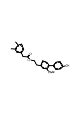 COc1cc(CCNC(=O)Cc2ccc(C)c(C)c2)ccc1-c1ccc(C#N)cc1